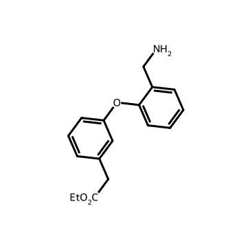 CCOC(=O)Cc1cccc(Oc2ccccc2CN)c1